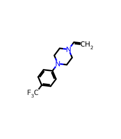 C=CN1CCN(c2ccc(C(F)(F)F)cc2)CC1